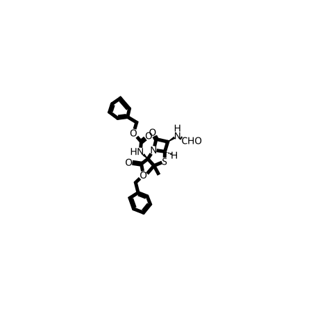 CC1(C)S[C@@H]2[C@H](NC=O)C(=O)N2[C@@]1(NC(=O)OCc1ccccc1)C(=O)OCc1ccccc1